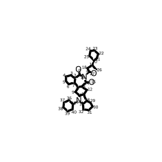 O=c1c2ccccc2c2cc3c(cc2c(=O)n1-c1cc(-c2ccccc2)co1)c1ccccc1n3-c1ccccc1